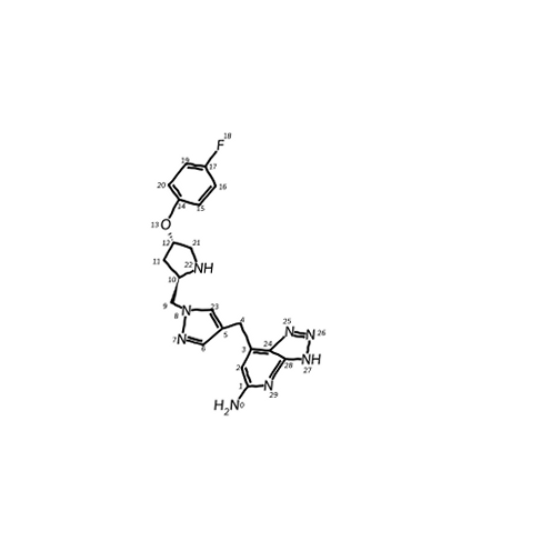 Nc1cc(Cc2cnn(C[C@H]3C[C@H](Oc4ccc(F)cc4)CN3)c2)c2nn[nH]c2n1